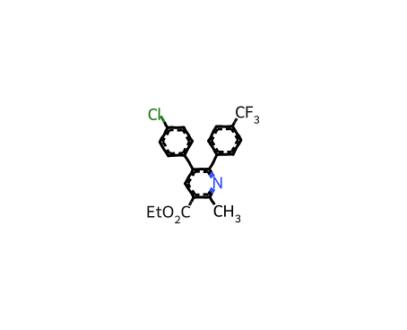 CCOC(=O)c1cc(-c2ccc(Cl)cc2)c(-c2ccc(C(F)(F)F)cc2)nc1C